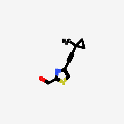 CC1(C#Cc2csc(C=O)n2)CC1